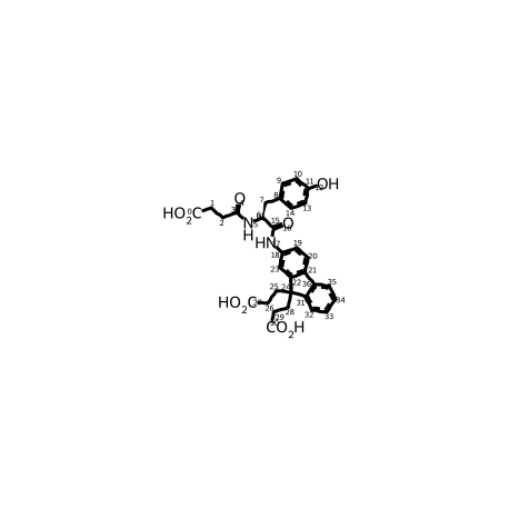 O=C(O)CCC(=O)N[C@@H](Cc1ccc(O)cc1)C(=O)Nc1ccc2c(c1)C(CCC(=O)O)(CCC(=O)O)c1ccccc1-2